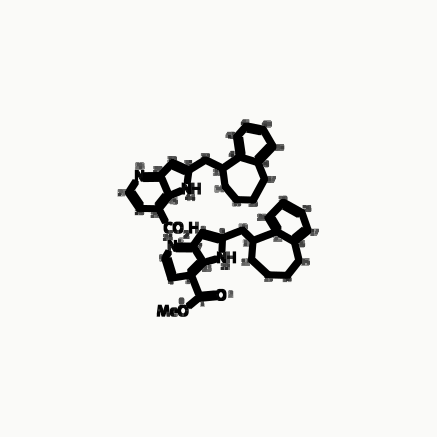 COC(=O)c1ccnc2cc(CC3CCCCc4ccccc43)[nH]c12.O=C(O)c1ccnc2cc(CC3CCCCc4ccccc43)[nH]c12